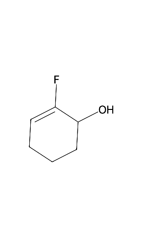 OC1CCCC=C1F